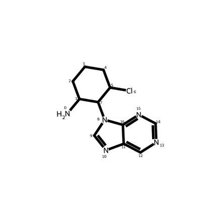 NC1CCCC(Cl)C1n1cnc2cncnc21